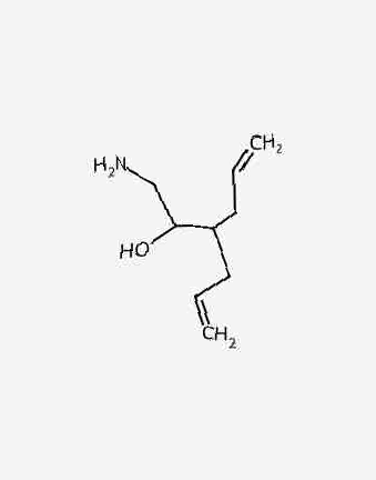 C=CCC(CC=C)C(O)CN